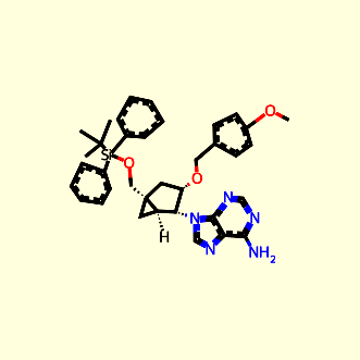 COc1ccc(CO[C@H]2C[C@]3(CO[Si](c4ccccc4)(c4ccccc4)C(C)(C)C)C[C@@H]3[C@H]2n2cnc3c(N)ncnc32)cc1